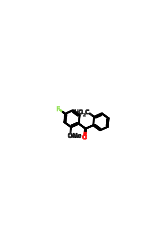 COc1cc(F)ccc1C(=O)c1ccccc1C(=O)O